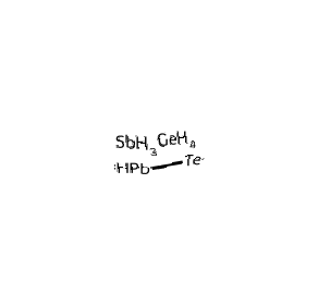 [GeH4].[SbH3].[Te][PbH]